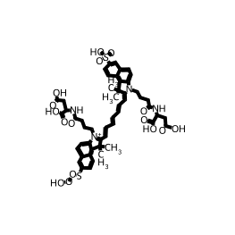 CC1(C)C(/C=C/C=C/C=C/C=C2/N(CCCC(=O)NC(CC(=O)O)C(=O)O)c3ccc4cc(S(=O)(=O)O)ccc4c3C2(C)C)=[N+](CCCC(=O)NC(CC(=O)O)C(=O)O)c2ccc3cc(SOOO)ccc3c21